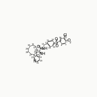 COc1ccc(S(=O)(=O)c2ccc(CNC(=O)C3Nc4ccncc4C34CCCCCCCC4)cc2)cc1Cl